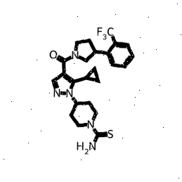 NC(=S)N1CCC(n2ncc(C(=O)N3CCC(c4ccccc4C(F)(F)F)C3)c2C2CC2)CC1